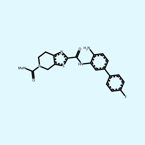 CNC(=O)N1CCc2nc(C(=O)Nc3cc(-c4ccc(F)cc4)ccc3N)sc2C1